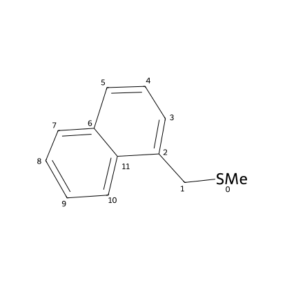 CSCc1cccc2ccccc12